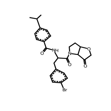 CC(C)c1ccc(C(=O)NC(Cc2ccc(Br)cc2)C(=O)N2CCC3OCC(=O)C32)cc1